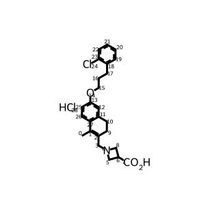 CC1=C(CN2CC(C(=O)O)C2)CCc2cc(OCCCc3ccccc3Cl)ccc21.Cl